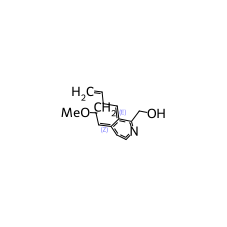 C=CC/C=c1/c(CO)ncc/c1=C/C(=C)OC